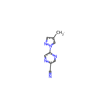 [CH2]c1cnn(-c2cnc(C#N)cn2)c1